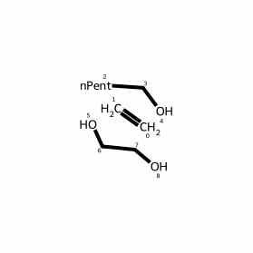 C=C.CCCCCCO.OCCO